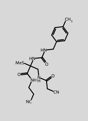 CSC(CNC(=O)CC#N)(NC(=O)NCc1ccc(C)cc1)C(=O)NCCC#N